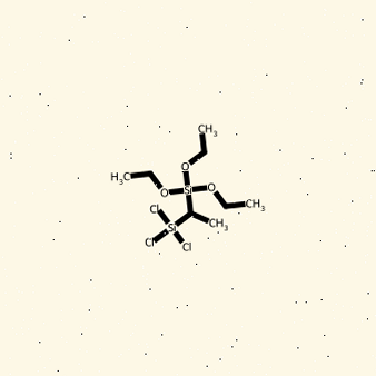 CCO[Si](OCC)(OCC)C(C)[Si](Cl)(Cl)Cl